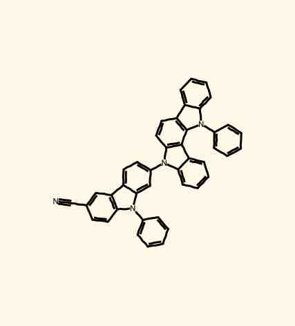 N#Cc1ccc2c(c1)c1ccc(-n3c4ccccc4c4c3ccc3c5ccccc5n(-c5ccccc5)c34)cc1n2-c1ccccc1